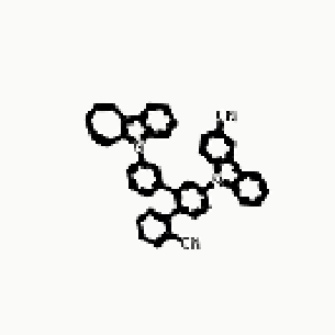 N#CC1=CCCC=C1c1ccc(-n2c3ccccc3c3cc(C#N)ccc32)cc1-c1cccc(-n2c3c(c4ccccc42)C=CCC#C3)c1